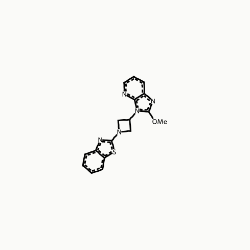 COc1nc2cccnc2n1C1CN(c2nc3ccccc3s2)C1